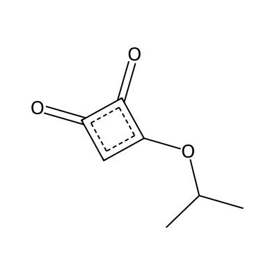 CC(C)Oc1cc(=O)c1=O